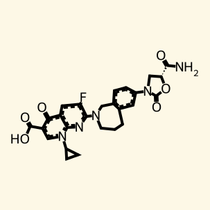 NC(=O)[C@H]1CN(c2ccc3c(c2)CCCN(c2nc4c(cc2F)c(=O)c(C(=O)O)cn4C2CC2)C3)C(=O)O1